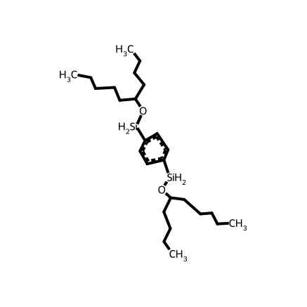 CCCCCC(CCCC)O[SiH2]c1ccc([SiH2]OC(CCCC)CCCCC)cc1